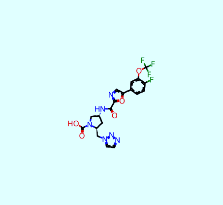 O=C(N[C@@H]1C[C@@H](Cn2ccnn2)N(C(=O)O)C1)c1ncc(-c2ccc(F)c(OC(F)(F)F)c2)o1